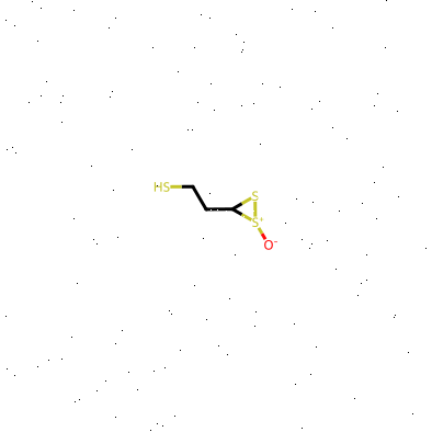 [O-][S+]1SC1CCS